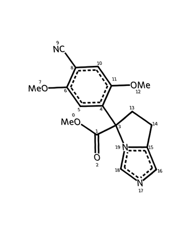 COC(=O)C1(c2cc(OC)c(C#N)cc2OC)CCc2cncn21